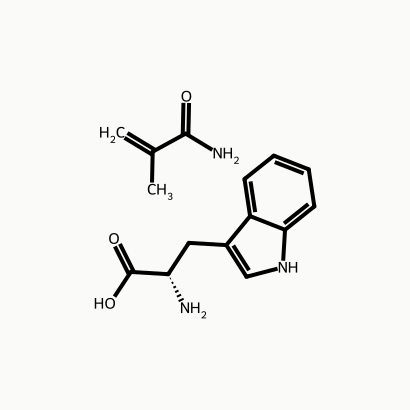 C=C(C)C(N)=O.N[C@@H](Cc1c[nH]c2ccccc12)C(=O)O